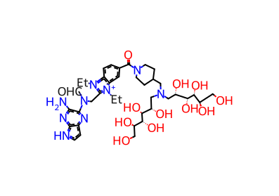 CCn1c(CN(C=O)c2nc3cc[nH]c3nc2N)[n+](CC)c2cc(C(=O)N3CCC(CN(C[C@H](O)[C@@H](O)[C@H](O)[C@H](O)CO)C[C@H](O)[C@@H](O)[C@H](O)[C@H](O)CO)CC3)ccc21